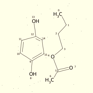 CCCCOC(C)=O.Oc1ccc(O)cc1